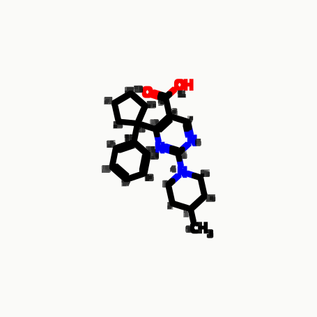 CC1CCN(c2ncc(C(=O)O)c(C3(c4ccccc4)CCCC3)n2)CC1